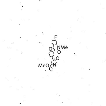 CNC(=O)c1c(-c2ccc(F)cc2)oc2ccc(-n3cc(C(=O)OC)ncc3=O)cc12